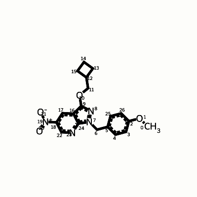 COc1ccc(Cn2nc(OCC3CCC3)c3cc([N+](=O)[O-])cnc32)cc1